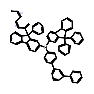 C=C(/C=C\C=C/C)C1(c2ccccc2)c2ccccc2-c2ccc(N(c3ccc(-c4cccc(-c5ccccc5)c4)cc3)c3ccc4c(c3)C(c3ccccc3)(c3ccccc3)c3ccccc3-4)cc21